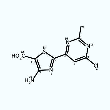 Cc1nc(Cl)cc(-c2nc(N)c(C(=O)O)s2)n1